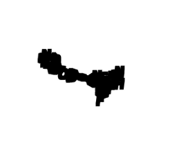 CC(=O)c1nccn1Cc1ccc(COc2ccc(C#Cc3ccc(C(F)(F)C(O)(Cn4cnnn4)c4ccc(F)cc4F)nc3)cc2)cc1